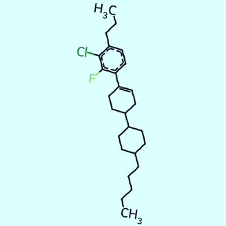 CCCCCC1CCC(C2CC=C(c3ccc(CCC)c(Cl)c3F)CC2)CC1